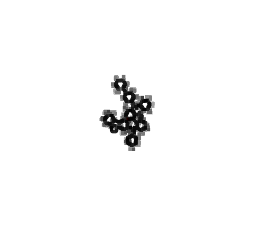 c1ccc(-c2ccc(N(c3ccccc3)c3cccc4c3sc3cccc(N(c5ccccc5)c5ccc6c(c5)oc5ccccc56)c34)cc2)cc1